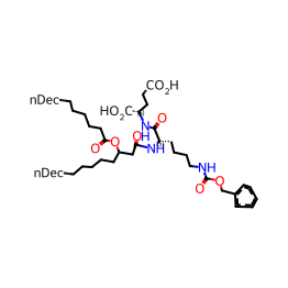 CCCCCCCCCCCCCCCC(=O)OC(CCCCCCCCCCCCCCC)CC(=O)N[C@@H](CCCCNC(=O)OCc1ccccc1)C(=O)N[C@@H](CCC(=O)O)C(=O)O